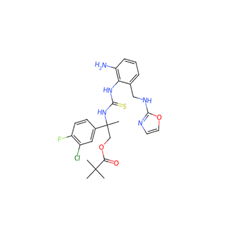 CC(C)(C)C(=O)OCC(C)(NC(=S)Nc1c(N)cccc1CNc1ncco1)c1ccc(F)c(Cl)c1